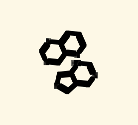 c1cnc2cncnc2c1.c1ncc2cncc-2[nH]1